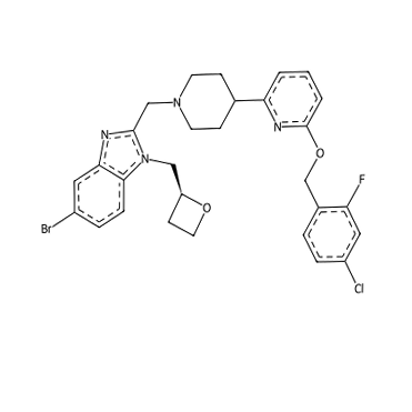 Fc1cc(Cl)ccc1COc1cccc(C2CCN(Cc3nc4cc(Br)ccc4n3C[C@@H]3CCO3)CC2)n1